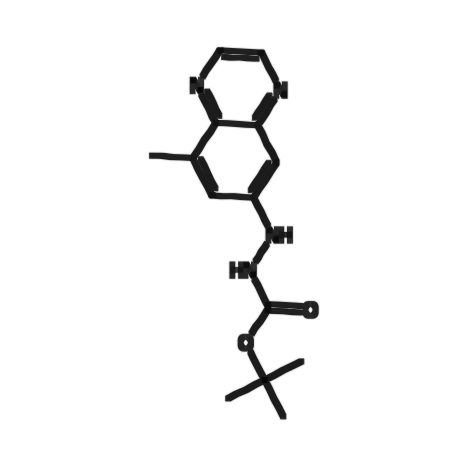 Cc1cc(NNC(=O)OC(C)(C)C)cc2nccnc12